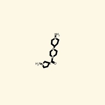 NN1CCC(N2CCN(C(=O)[C@@H]3CCN(N)C3)CC2)CC1